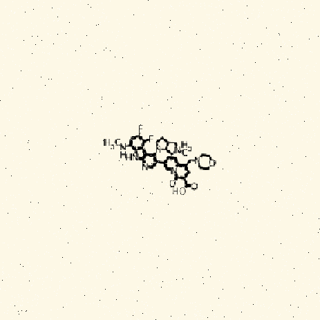 CNc1cc(F)c(F)c2c1[nH]c1ncc(-c3ccc4c(CN5CCOCC5)cc(C(=O)O)c(=O)n4c3)c(N3CCC4CN(C)CC43)c12